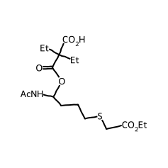 CCOC(=O)CSCCCC(NC(C)=O)OC(=O)C(CC)(CC)C(=O)O